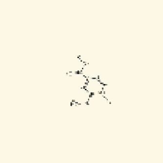 COC(=O)c1ccc(I)c(CO)c1